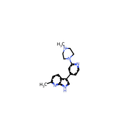 Cc1ccc2c(-c3ccnc(N4CCN(C)CC4)c3)c[nH]c2n1